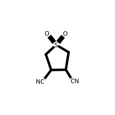 N#CC1CS(=O)(=O)CC1C#N